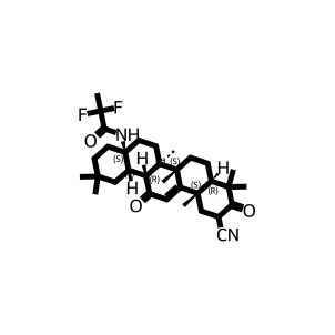 CC1(C)CC[C@]2(NC(=O)C(C)(F)F)CC[C@]3(C)[C@H](C(=O)C=C4[C@@]5(C)CC(C#N)C(=O)C(C)(C)[C@@H]5CC[C@]43C)[C@@H]2C1